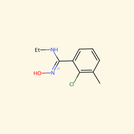 CCN/C(=N\O)c1cccc(C)c1Cl